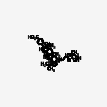 C=C(C)[C@@H]1CC[C@]2(CNCCC(=O)NC(C)(CO)CO)CC[C@]3(C)[C@H](CC[C@@H]4[C@@]5(C)CC=C(c6ccc(C(=O)O)cc6)C(C)(C)[C@@H]5CC[C@]43C)[C@@H]12